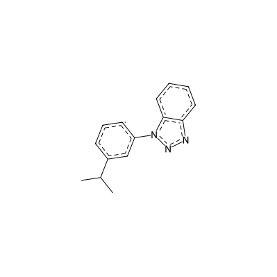 CC(C)c1cc[c]c(-n2nnc3ccccc32)c1